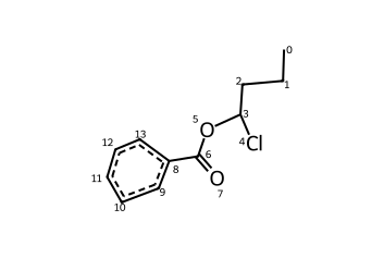 CCCC(Cl)OC(=O)c1ccccc1